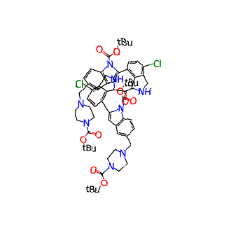 CC(C)(C)OC(=O)N1CCN(Cc2ccc3c(c2)cc(-c2ccc(Cl)c4c2C(C(=O)C2NCc5c(Cl)ccc(-c6cc7cc(CN8CCN(C(=O)OC(C)(C)C)CC8)ccc7n6C(=O)OC(C)(C)C)c52)NC4)n3C(=O)OC(C)(C)C)CC1